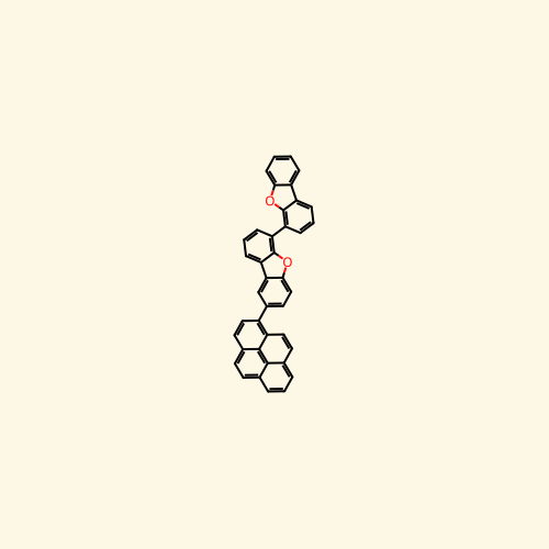 c1cc2ccc3ccc(-c4ccc5oc6c(-c7cccc8c7oc7ccccc78)cccc6c5c4)c4ccc(c1)c2c34